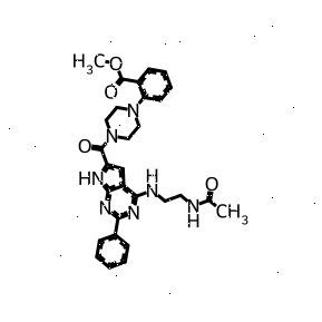 COC(=O)c1ccccc1N1CCN(C(=O)c2cc3c(NCCNC(C)=O)nc(-c4ccccc4)nc3[nH]2)CC1